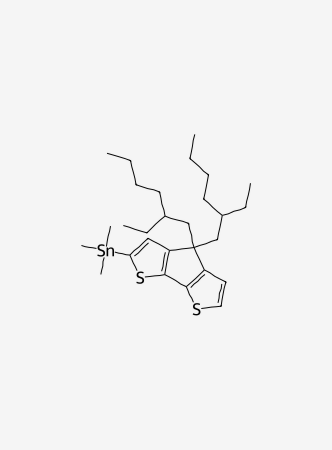 CCCCC(CC)CC1(CC(CC)CCCC)c2ccsc2-c2s[c]([Sn]([CH3])([CH3])[CH3])cc21